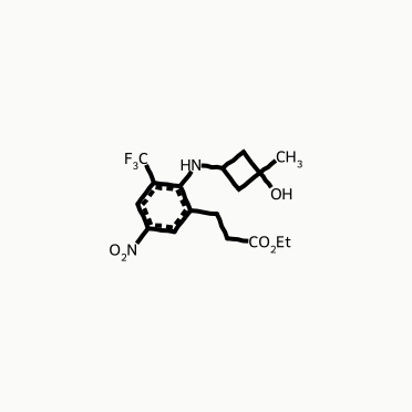 CCOC(=O)CCc1cc([N+](=O)[O-])cc(C(F)(F)F)c1NC1CC(C)(O)C1